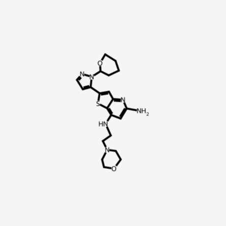 Nc1cc(NCCN2CCOCC2)c2sc(-c3ccnn3C3CCCCO3)cc2n1